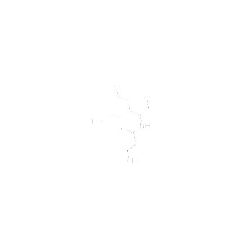 C/C=C/C(=O)NC(CC)C(OCC)OCC